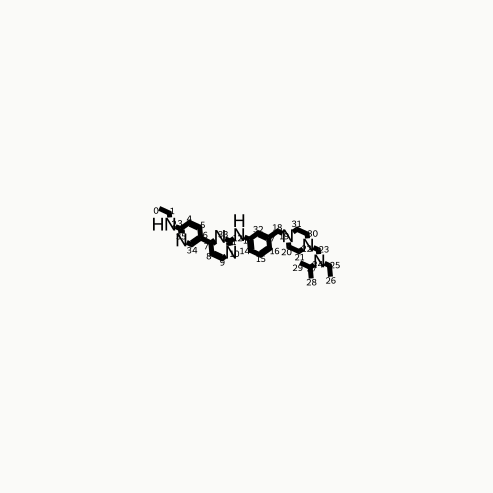 CCNc1ccc(-c2ccnc(Nc3cccc(CN4CCN(CN(CC)C(C)C)CC4)c3)n2)cn1